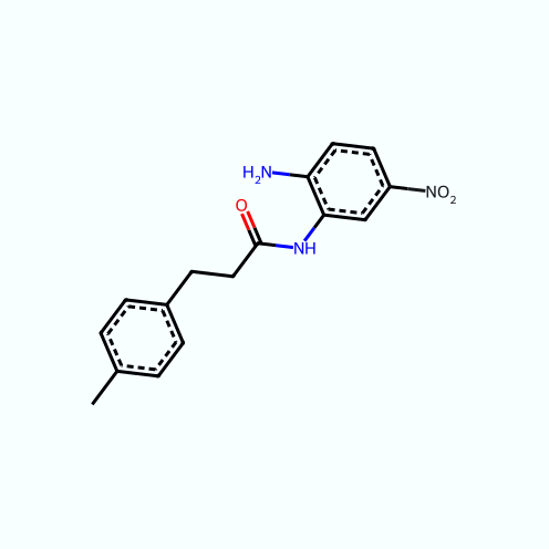 Cc1ccc(CCC(=O)Nc2cc([N+](=O)[O-])ccc2N)cc1